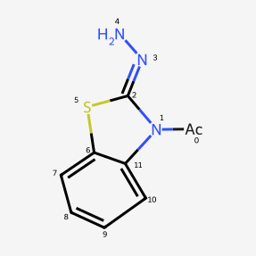 CC(=O)n1/c(=N/N)sc2ccccc21